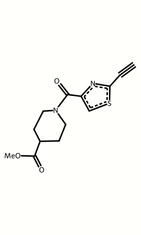 C#Cc1nc(C(=O)N2CCC(C(=O)OC)CC2)cs1